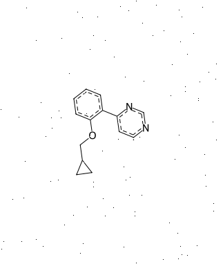 [c]1cc(-c2ccccc2OCC2CC2)ncn1